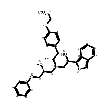 CCOC(=O)COc1ccc(C[C@@H](C)N(CC(O)c2occ3ccccc23)C[C@H](O)COc2ccccc2)cc1